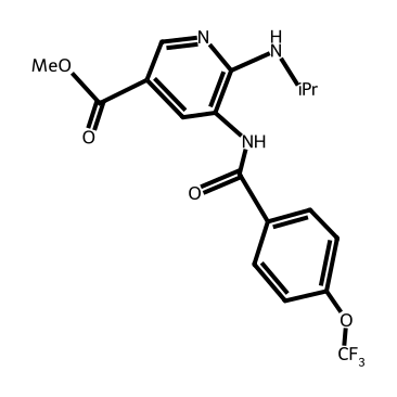 COC(=O)c1cnc(NC(C)C)c(NC(=O)c2ccc(OC(F)(F)F)cc2)c1